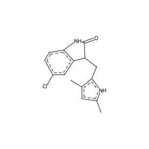 Cc1cc(C)c(CC2C(=O)Nc3ccc(Cl)cc32)[nH]1